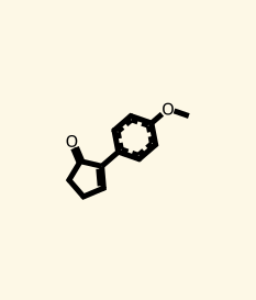 COc1ccc(C2=CCCC2=O)cc1